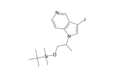 CC(CO[Si](C)(C)C(C)(C)C)n1cc(I)c2cnccc21